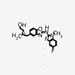 CN(CCO)Cc1ccc2oc(Nc3nc4cc(F)ccc4n3C)nc2c1